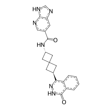 O=C(N[C@H]1CC2(C1)C[C@H](c1n[nH]c(=O)c3ccccc31)C2)c1cnc2[nH]cnc2c1